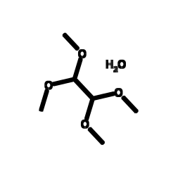 COC(OC)C(OC)OC.O